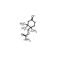 CC1(C)CC(=O)CCC1(C)COC(N)=O